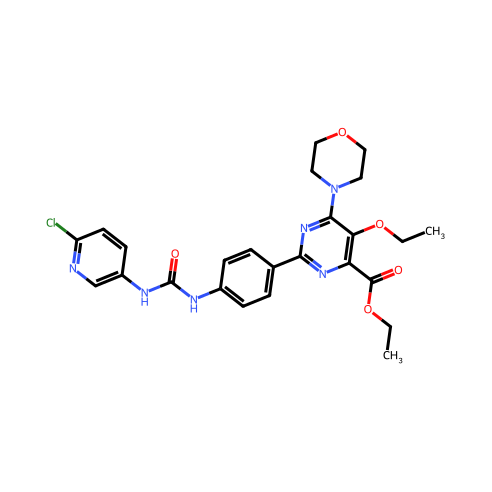 CCOC(=O)c1nc(-c2ccc(NC(=O)Nc3ccc(Cl)nc3)cc2)nc(N2CCOCC2)c1OCC